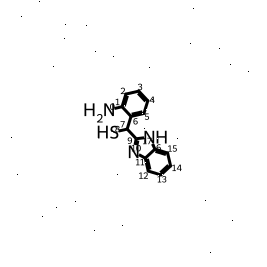 Nc1ccccc1C(S)c1nc2ccccc2[nH]1